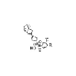 COc1ccc(N(C(=O)O)S(=O)(=O)c2ccc(N3CCC4(CC3)OCCO4)cc2)cc1OC